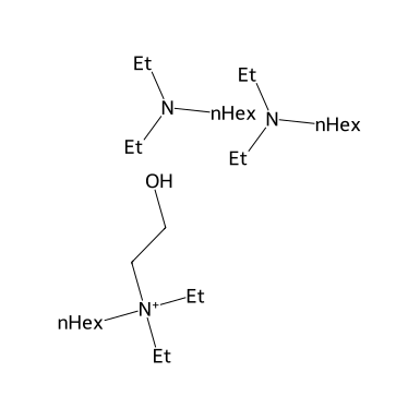 CCCCCCN(CC)CC.CCCCCCN(CC)CC.CCCCCC[N+](CC)(CC)CCO